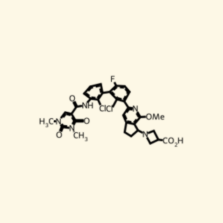 COc1nc(-c2ccc(F)c(-c3cccc(NC(=O)c4cn(C)c(=O)n(C)c4=O)c3Cl)c2Cl)cc2c1C(N1CC(C(=O)O)C1)CC2